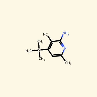 Cc1cc([Si](C)(C)C)c(C#N)c(N)n1